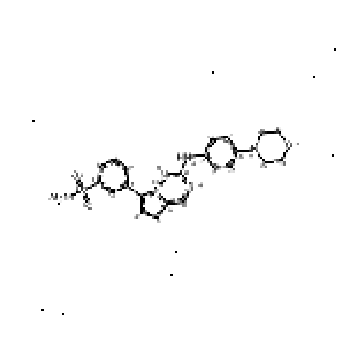 CNS(=O)(=O)c1cccc(-c2ccc3cnc(Nc4ccc(N5CCOCC5)cc4)nn23)c1